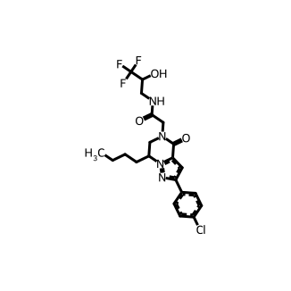 CCCCC1CN(CC(=O)NCC(O)C(F)(F)F)C(=O)c2cc(-c3ccc(Cl)cc3)nn21